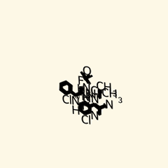 CC(C)(C)CNc1c(C#N)cnc2c(Cl)cc(N[C@H](C3=CN(CC4(F)COC4)NN3)c3ccccc3Cl)cc12